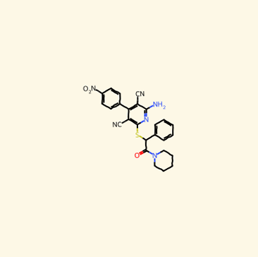 N#Cc1c(N)nc(SC(C(=O)N2CCCCC2)c2ccccc2)c(C#N)c1-c1ccc([N+](=O)[O-])cc1